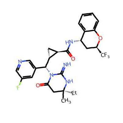 CC[C@]1(C)CC(=O)N([C@H](c2cncc(F)c2)[C@@H]2C[C@H]2C(=O)N[C@H]2C[C@H](C(F)(F)F)Oc3ccccc32)C(=N)N1